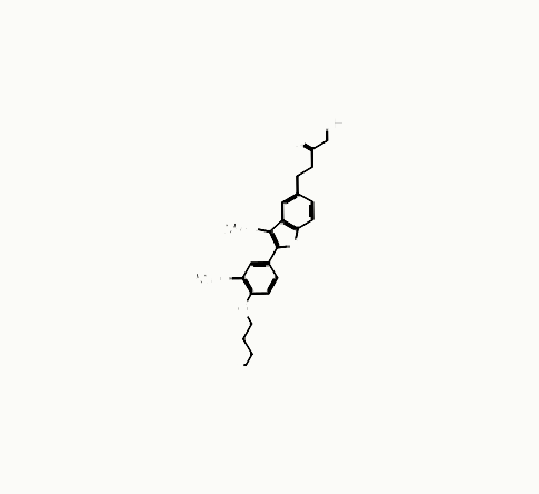 COc1cc(-c2oc3ccc(CCC(=O)CO)cc3c2SC)ccc1OCCCCl